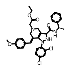 CCOC(=O)CN1CC2=C(/C(=C/c3ccc(OC)cc3)C1)N(c1ccc(Cl)cc1Cl)NC2C(=O)N[C@H](C)c1ccccc1